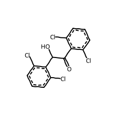 O=C(c1c(Cl)cccc1Cl)C(O)c1c(Cl)cccc1Cl